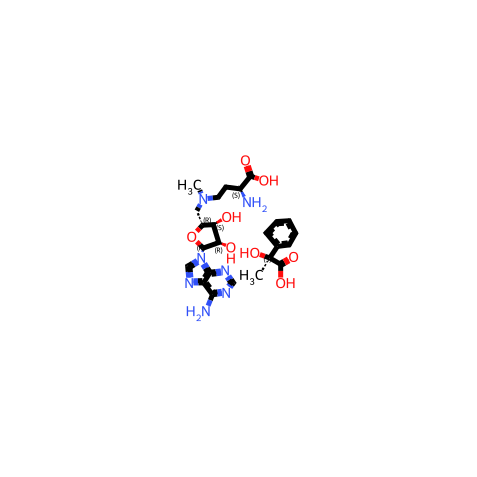 CN(CC[C@H](N)C(=O)O)C[C@H]1O[C@@H](n2cnc3c(N)ncnc32)[C@H](O)[C@@H]1O.C[C@@](O)(C(=O)O)c1ccccc1